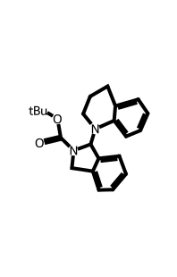 CC(C)(C)OC(=O)N1Cc2ccccc2C1N1CCCc2ccccc21